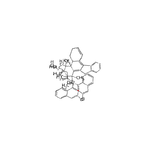 Cl.Cl.[CH2]=[Zr]([C]1=CC=CC1)([c]1cc(Cl)cc2ccccc12)([c]1cc(Cl)cc2ccccc12)[C]1(C)C2=C3Cc4ccccc4C3=C3C=CCCC3C2(C)C(C)(C)C(C)(C)C1(C)C